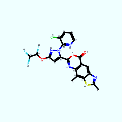 Cc1nc2cc3c(=O)oc(-c4cc(OC(F)C(F)F)nn4-c4ncccc4Cl)nc3c(C)c2s1